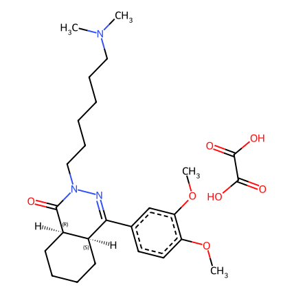 COc1ccc(C2=NN(CCCCCCN(C)C)C(=O)[C@@H]3CCCC[C@H]23)cc1OC.O=C(O)C(=O)O